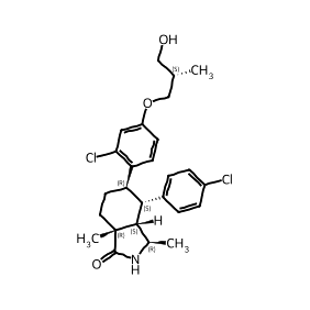 C[C@@H](CO)COc1ccc([C@@H]2CC[C@@]3(C)C(=O)N[C@H](C)[C@H]3[C@H]2c2ccc(Cl)cc2)c(Cl)c1